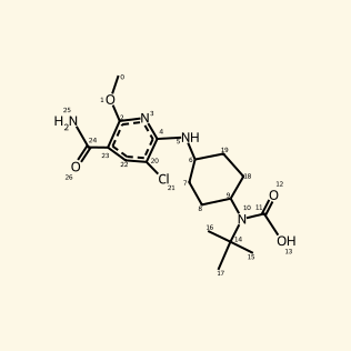 COc1nc(NC2CCC(N(C(=O)O)C(C)(C)C)CC2)c(Cl)cc1C(N)=O